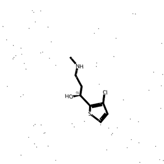 CNCC[C@H](O)c1sccc1Cl